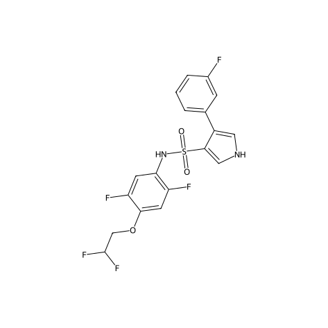 O=S(=O)(Nc1cc(F)c(OCC(F)F)cc1F)c1c[nH]cc1-c1cccc(F)c1